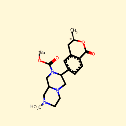 C[C@@H]1Cc2cc(C3CN4CCN(C(=O)O)CC4CN3C(=O)OC(C)(C)C)ccc2C(=O)O1